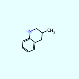 CC1CNc2cc[c]cc2C1